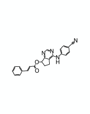 N#Cc1ccc(Nc2ncnc3c2CCC3OC(=O)C=Cc2ccccc2)cc1